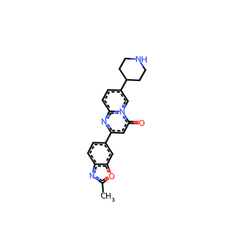 Cc1nc2ccc(-c3cc(=O)n4cc(C5CCNCC5)ccc4n3)cc2o1